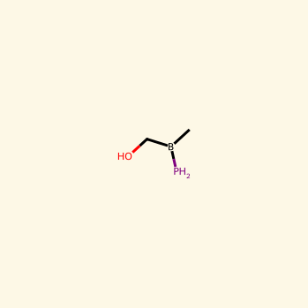 CB(P)CO